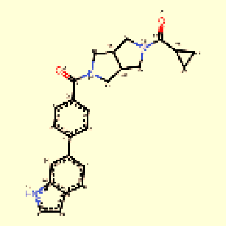 O=C(c1ccc(-c2ccc3cc[nH]c3c2)cc1)N1CC2CN(C(=O)C3CC3)CC2C1